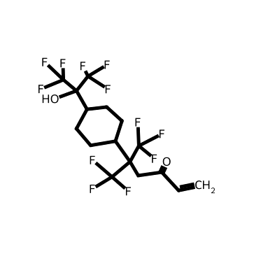 C=CC(=O)CC(C1CCC(C(O)(C(F)(F)F)C(F)(F)F)CC1)(C(F)(F)F)C(F)(F)F